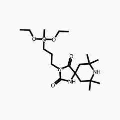 CCO[Si](C)(CCCN1C(=O)NC2(CC(C)(C)NC(C)(C)C2)C1=O)OCC